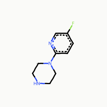 Fc1ccc(N2[CH]CNCC2)nc1